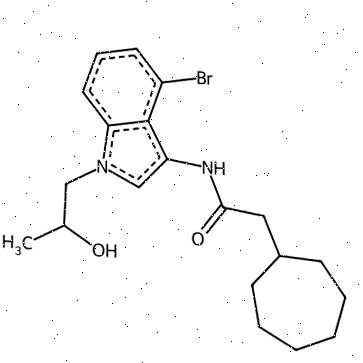 CC(O)Cn1cc(NC(=O)CC2CCCCCC2)c2c(Br)cccc21